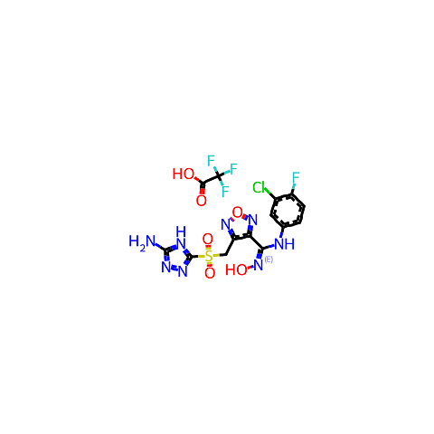 Nc1nnc(S(=O)(=O)Cc2nonc2/C(=N\O)Nc2ccc(F)c(Cl)c2)[nH]1.O=C(O)C(F)(F)F